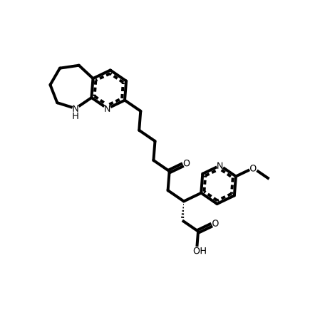 COc1ccc([C@H](CC(=O)O)CC(=O)CCCCc2ccc3c(n2)NCCCC3)cn1